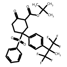 CC(C)(C)OC(=O)C1CC(c2ccc(C(C)(C(F)(F)F)C(F)(F)F)cc2)(S(=O)(=O)c2ccccc2)CCC1=O